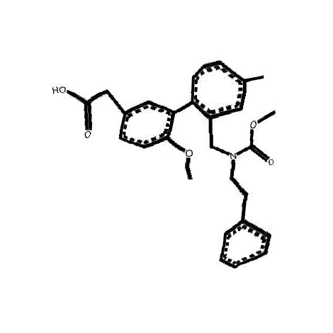 COC(=O)N(CCc1ccccc1)Cc1cc(C)ccc1-c1cc(CC(=O)O)ccc1OC